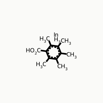 Cc1c(C)c(C)c(C(=O)O)c(C)c1C.[InH3]